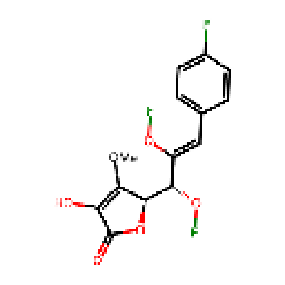 COC1=C(O)C(=O)O[C@@H]1[C@@H](OF)C(=Cc1ccc(F)cc1)OF